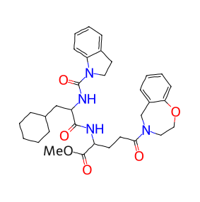 COC(=O)C(CCC(=O)N1CCOc2ccccc2C1)NC(=O)C(CC1CCCCC1)NC(=O)N1CCc2ccccc21